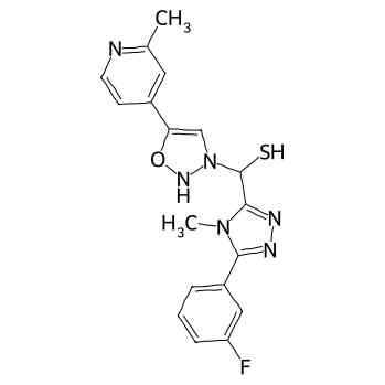 Cc1cc(C2=CN(C(S)c3nnc(-c4cccc(F)c4)n3C)NO2)ccn1